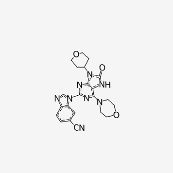 N#Cc1ccc2ncn(-c3nc(N4CCOCC4)c4[nH]c(=O)n(C5CCOCC5)c4n3)c2c1